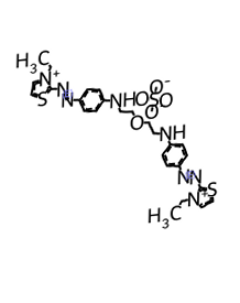 CC[n+]1ccsc1/N=N/c1ccc(NCCOCCNc2ccc(/N=N/c3scc[n+]3CC)cc2)cc1.O=S(=O)([O-])[O-]